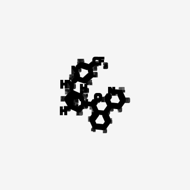 O=C(c1ccccc1-c1cccnc1)N1C[C@@H]2C[C@@H](Nc3ccc(C(F)(F)F)cn3)[C@@H]1C2